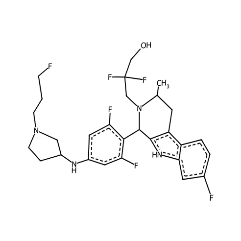 CC1Cc2c([nH]c3cc(F)ccc23)C(c2c(F)cc(NC3CCN(CCCF)C3)cc2F)N1CC(F)(F)CO